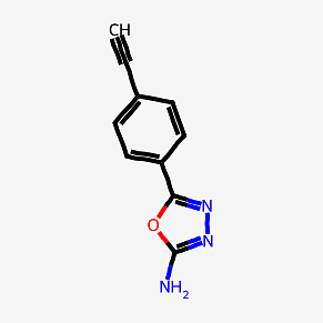 C#Cc1ccc(-c2nnc(N)o2)cc1